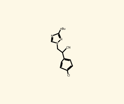 CCCCc1ncn(CC(C#N)c2ccc(Cl)cc2)n1